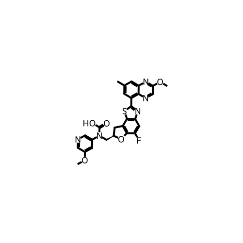 COc1cncc(N(C[C@H]2Cc3c(c(F)cc4nc(-c5cc(C)cc6nc(OC)cnc56)sc34)O2)C(=O)O)c1